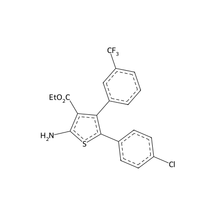 CCOC(=O)c1c(N)sc(-c2ccc(Cl)cc2)c1-c1cccc(C(F)(F)F)c1